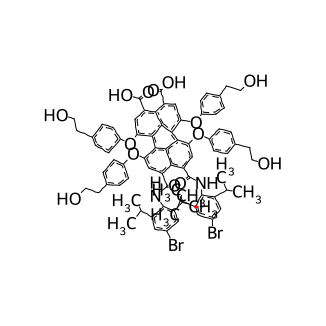 CC(C)c1cc(Br)cc(C(C)C)c1NC(=O)c1cc(Oc2ccc(CCO)cc2)c2c3c(Oc4ccc(CCO)cc4)cc(C(=O)O)c4c(C(=O)O)cc(Oc5ccc(CCO)cc5)c(c5c(Oc6ccc(CCO)cc6)cc(C(=O)Nc6c(C(C)C)cc(Br)cc6C(C)C)c1c25)c43